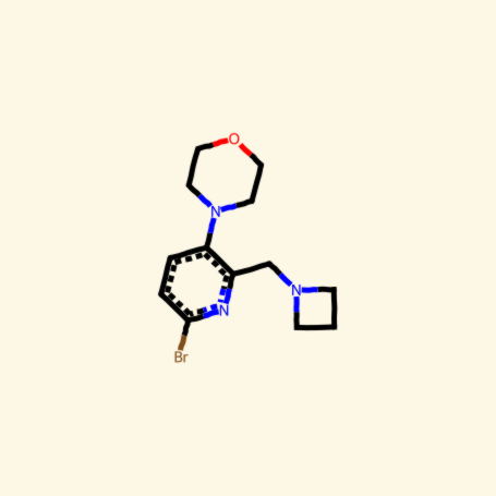 Brc1ccc(N2CCOCC2)c(CN2CCC2)n1